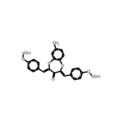 CCCCCCCCOc1ccc(/C=C2\Oc3ccc(C)cc3O/C(=C\c3ccc(OCCCCCCCC)cc3)C2=O)cc1